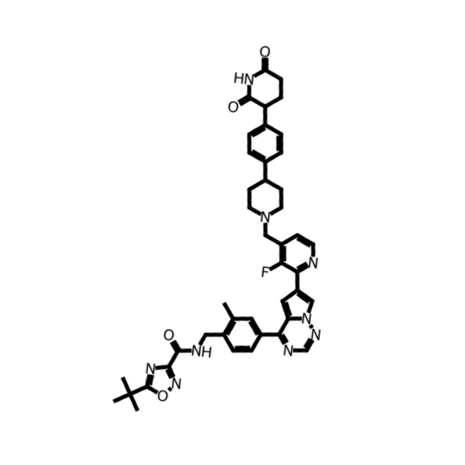 Cc1cc(-c2ncnn3cc(-c4nccc(CN5CCC(c6ccc(C7CCC(=O)NC7=O)cc6)CC5)c4F)cc23)ccc1CNC(=O)c1noc(C(C)(C)C)n1